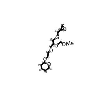 COCOC(COCCOC1CCCCO1)COCC1CO1